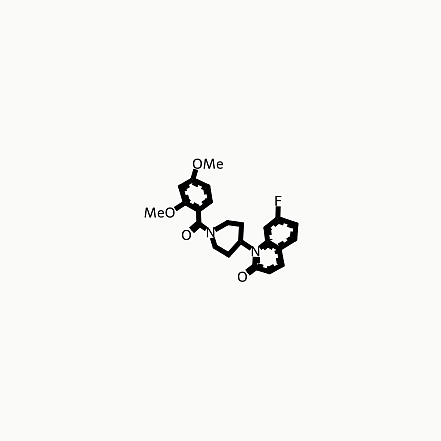 COc1ccc(C(=O)N2CCC(n3c(=O)ccc4ccc(F)cc43)CC2)c(OC)c1